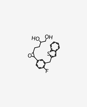 OCC(O)CCC1OC1c1ccc(F)c(Cc2cc3ccccc3s2)c1